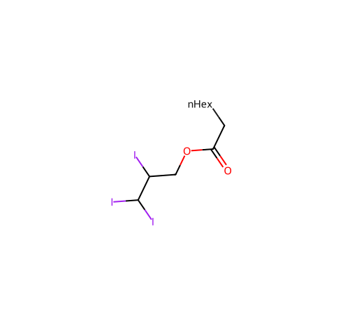 CCCCCCCC(=O)OCC(I)C(I)I